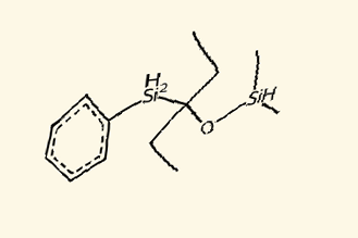 CCC(CC)(O[SiH](C)C)[SiH2]c1ccccc1